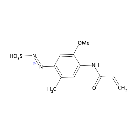 C=CC(=O)Nc1cc(C)c(/N=N/S(=O)(=O)O)cc1OC